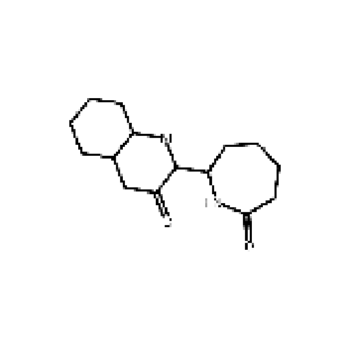 O=C1CCCCC(C2NC3CCCCC3CC2=O)N1